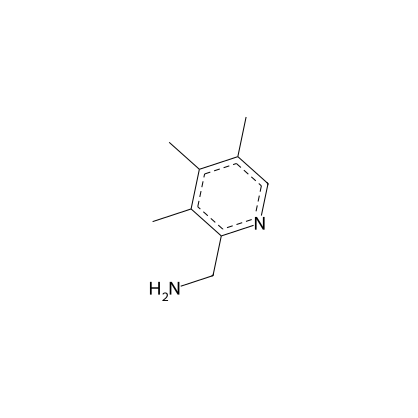 Cc1cnc(CN)c(C)c1C